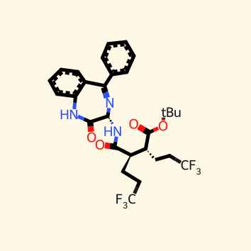 CC(C)(C)OC(=O)[C@H](CCC(F)(F)F)[C@@H](CCC(F)(F)F)C(=O)N[C@H]1N=C(c2ccccc2)c2ccccc2NC1=O